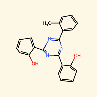 Cc1ccccc1-c1nc(-c2ccccc2O)nc(-c2ccccc2O)n1